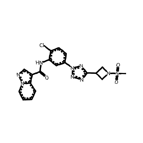 CS(=O)(=O)N1CC(c2nnn(-c3ccc(Cl)c(NC(=O)c4cnn5ccccc45)c3)n2)C1